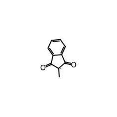 C[C]1C(=O)c2ccccc2C1=O